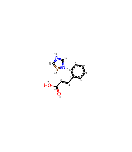 O=C(O)C=Cc1ccccc1.c1ncsn1